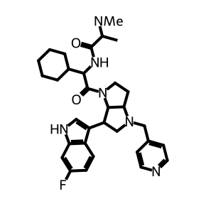 CNC(C)C(=O)NC(C(=O)N1CCC2C1C(c1c[nH]c3cc(F)ccc13)CN2Cc1ccncc1)C1CCCCC1